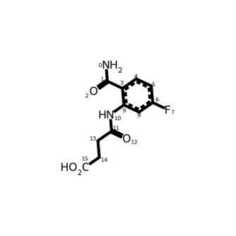 NC(=O)c1ccc(F)cc1NC(=O)CCC(=O)O